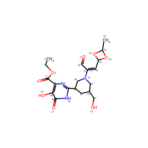 CCOC(=O)c1nc(C2CC(CO)CN(/C(C=O)=C/C3OC(C)O3)C2)[nH]c(=O)c1O